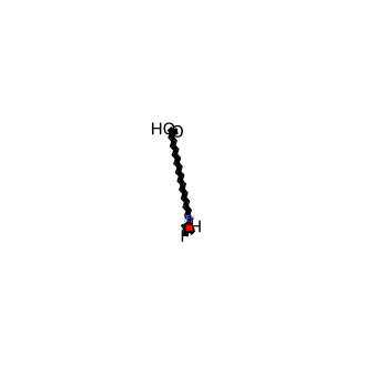 C[C@H]1C2(F)CC1(/C=C/CCCCCCCCCCCCCCCCCCC(=O)O)C2